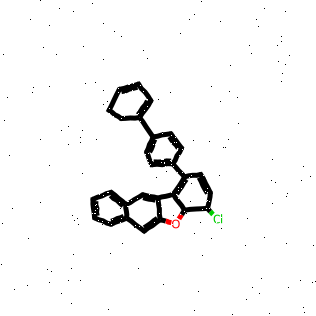 ClC1C=CC(c2ccc(C3=CC=CCC3)cc2)=C2c3cc4ccccc4cc3OC21